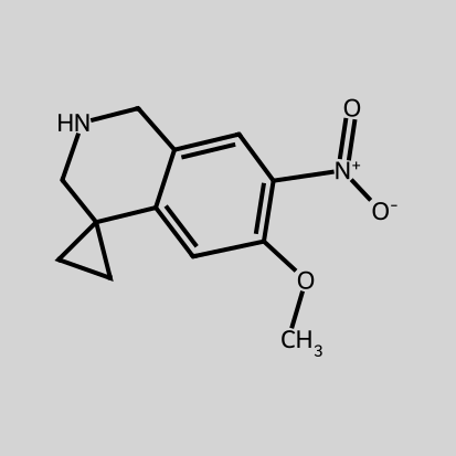 COc1cc2c(cc1[N+](=O)[O-])CNCC21CC1